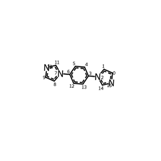 c1cn(-c2ccc(-n3ccnc3)cc2)cn1